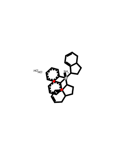 Cl.Cl.[SiH2]=[Hf]([c]1ccccc1)([c]1ccccc1)([CH]1CCC2CC=CC=C21)[CH]1CCC2CC=CC=C21